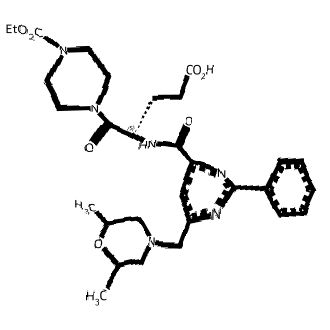 CCOC(=O)N1CCN(C(=O)[C@H](CCC(=O)O)NC(=O)c2cc(CN3CC(C)OC(C)C3)nc(-c3ccccc3)n2)CC1